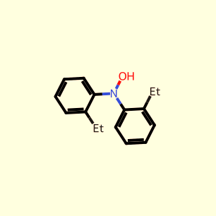 CCc1ccccc1N(O)c1ccccc1CC